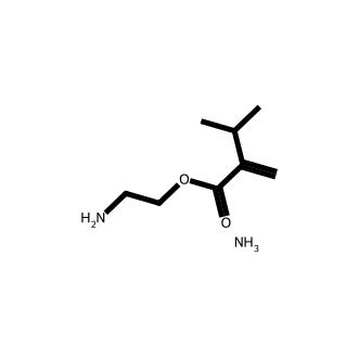 C=C(C(=O)OCCN)C(C)C.N